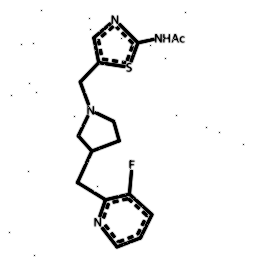 CC(=O)Nc1ncc(CN2CCC(Cc3ncccc3F)C2)s1